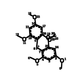 COc1cc(OC)c([I+]c2c(OC)cc(OC)cc2OC)c(OC)c1